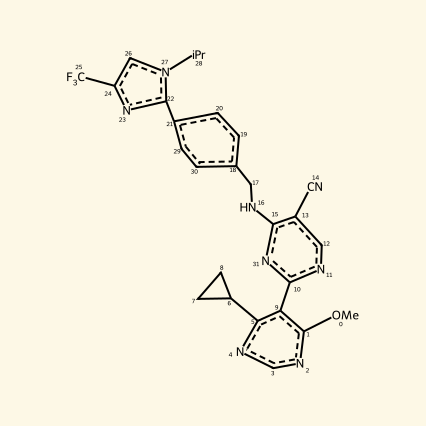 COc1ncnc(C2CC2)c1-c1ncc(C#N)c(NCc2ccc(-c3nc(C(F)(F)F)cn3C(C)C)cc2)n1